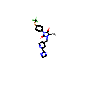 CC1C(=O)N(c2ccc(SC(F)(F)F)cc2)C(=O)N1Cc1ccnc(-c2ncc[nH]2)c1